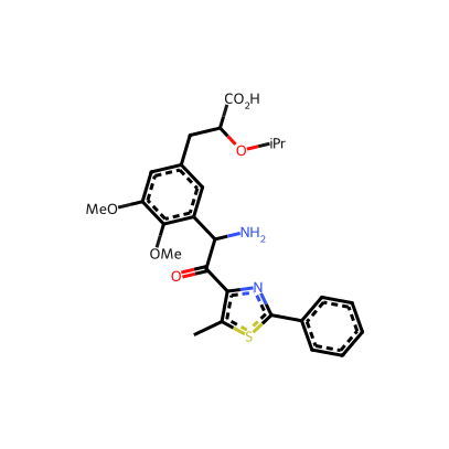 COc1cc(CC(OC(C)C)C(=O)O)cc(C(N)C(=O)c2nc(-c3ccccc3)sc2C)c1OC